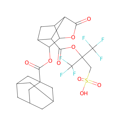 O=C1OC2C3CC(C2OC(=O)C24CC5CC(CC(C5)C2)C4)C(C(=O)OC(CS(=O)(=O)O)(C(F)(F)F)C(F)(F)F)C13